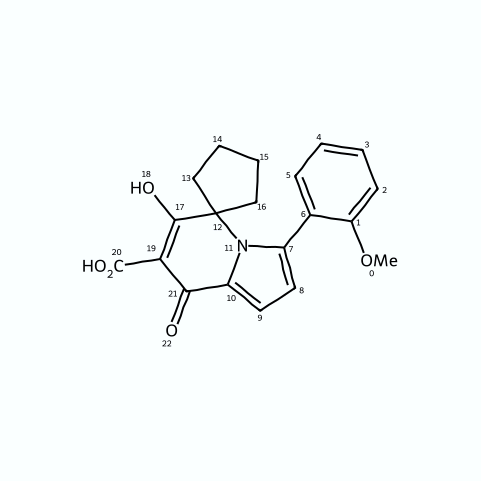 COc1ccccc1-c1ccc2n1C1(CCCC1)C(O)=C(C(=O)O)C2=O